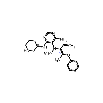 C=C/C(=C(/C)Oc1ccccc1)N(NC)c1c(N)ncnc1N[C@@H]1CCCNC1